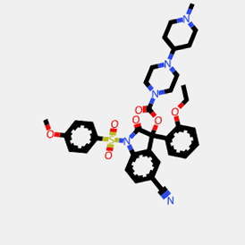 CCOc1ccccc1C1(OC(=O)N2CCN(C3CCN(C)CC3)CC2)C(=O)N(S(=O)(=O)c2ccc(OC)cc2)c2ccc(C#N)cc21